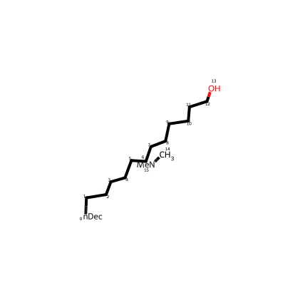 CCCCCCCCCCCCCCCCCCCCCCO.CNC